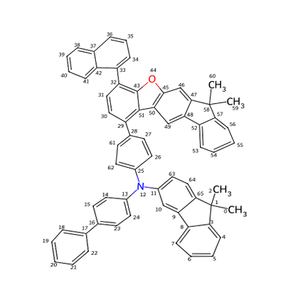 CC1(C)c2ccccc2-c2cc(N(c3ccc(-c4ccccc4)cc3)c3ccc(-c4ccc(-c5cccc6ccccc56)c5oc6cc7c(cc6c45)-c4ccccc4C7(C)C)cc3)ccc21